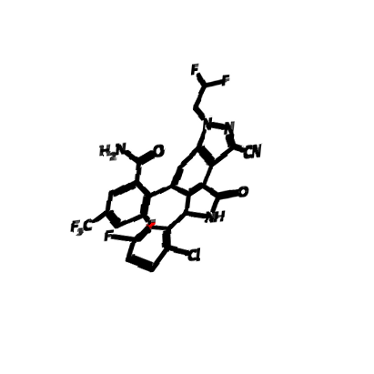 N#Cc1nn(CC(F)F)c2cc(-c3c(F)cc(C(F)(F)F)cc3C(N)=O)c3c(c12)C(=O)NC3c1cc(F)ccc1Cl